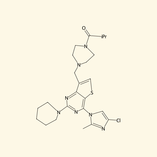 Cc1nc(Cl)cn1-c1nc(N2CCCCC2)nc2c(CN3CCN(C(=O)C(C)C)CC3)csc12